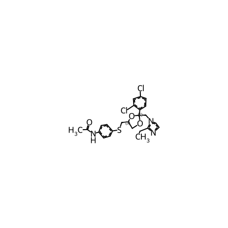 CCc1nccn1C[C@@]1(c2ccc(Cl)cc2Cl)OC[C@@H](CSc2ccc(NC(C)=O)cc2)O1